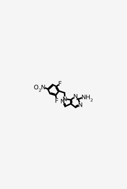 Nc1ncc2cnn(Cc3c(F)cc([N+](=O)[O-])cc3F)c2n1